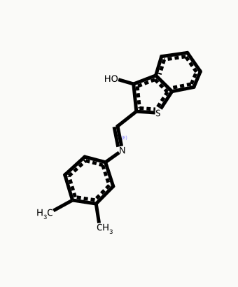 Cc1ccc(/N=C/c2sc3ccccc3c2O)cc1C